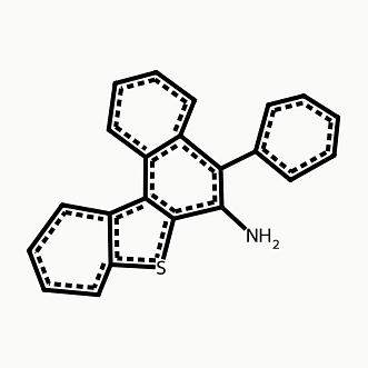 Nc1c(-c2ccccc2)c2ccccc2c2c1sc1ccccc12